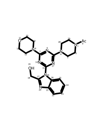 CC(=O)N1CCN(c2nc(N3CCOCC3)nc(-n3c(CO)nc4ccccc43)n2)CC1